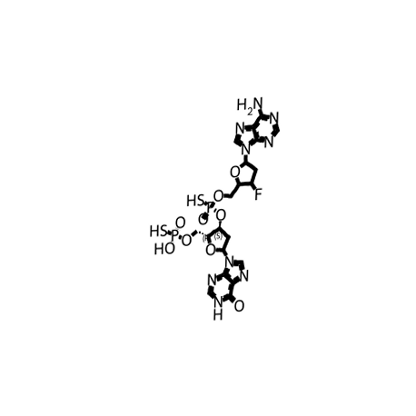 Nc1ncnc2c1ncn2C1CC(F)C(COP(=O)(S)O[C@H]2CC(n3cnc4c(=O)[nH]cnc43)O[C@@H]2COP(=O)(O)S)O1